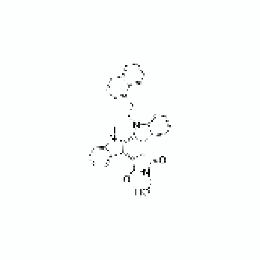 O=C1c2c(c3c4ccccc4n(CCc4cccc5ccccc45)c3c3[nH]c4ccccc4c23)C(=O)N1CO